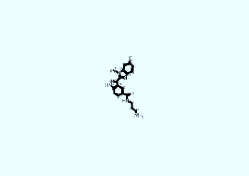 CC(C)n1c(-c2n[nH]c3ccc(C(=O)NCCCN)cc23)nc2ccc(F)cc21